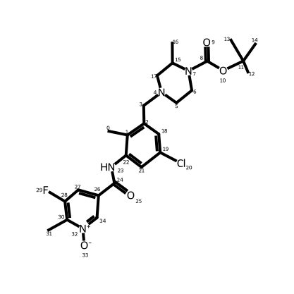 Cc1c(CN2CCN(C(=O)OC(C)(C)C)C(C)C2)cc(Cl)cc1NC(=O)c1cc(F)c(C)[n+]([O-])c1